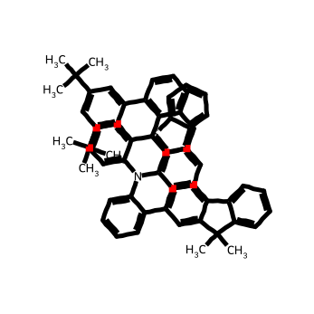 CC(C)(C)c1cc(-c2cccc3cccc(-c4ccccc4N(c4ccccc4-c4ccc5c(c4)C(C)(C)c4ccccc4-5)c4cccc5c4sc4ccccc45)c23)cc(C(C)(C)C)c1